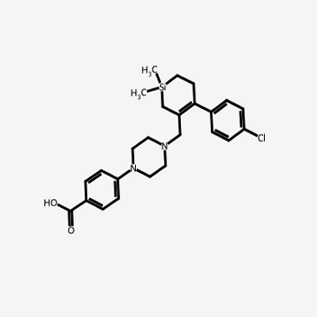 C[Si]1(C)CCC(c2ccc(Cl)cc2)=C(CN2CCN(c3ccc(C(=O)O)cc3)CC2)C1